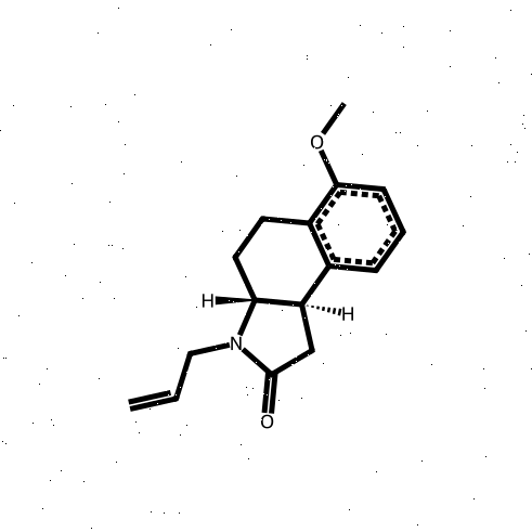 C=CCN1C(=O)C[C@@H]2c3cccc(OC)c3CC[C@H]21